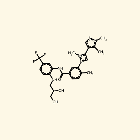 Cc1ccc(C(=O)Nc2cc(C(F)(F)F)ccc2NC[C@@H](O)CO)cc1-n1cc(-c2cnn(C)c2C)n1C